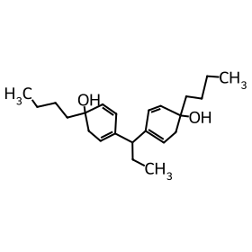 CCCCC1(O)C=CC(C(CC)C2=CCC(O)(CCCC)C=C2)=CC1